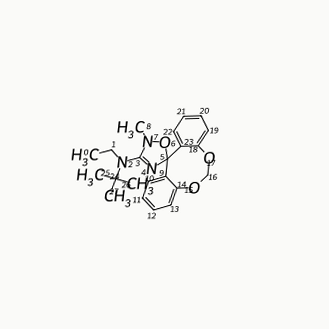 CCN(C1=NC2(ON1C)c1ccccc1OCOc1ccccc12)C(C)(C)C